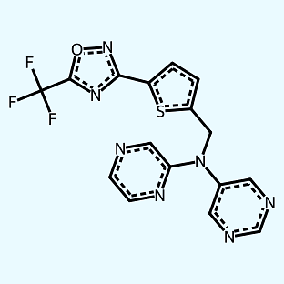 FC(F)(F)c1nc(-c2ccc(CN(c3cncnc3)c3cnccn3)s2)no1